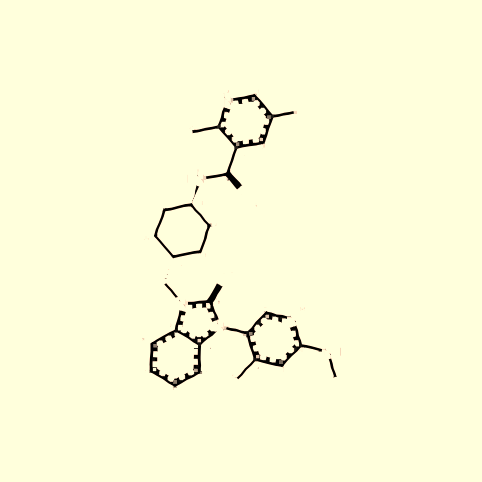 CNc1cc(C)c(-n2c(=O)n(C[C@H]3CC[C@H](NC(=O)c4cc(Cl)cnc4C)CC3)c3ccccc32)cn1